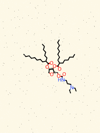 CCCCCCCCC(CCCCCC)C(=O)O[C@@H]1[C@@H](OC(=O)C(CCCCCC)CCCCCCCC)CO[C@@H]1COC(=O)NCCCN(CC)CC